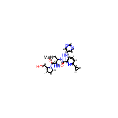 CNCC(NC(=O)c1nc(C2CC2)ccc1Nc1cncnc1)C(=N)C(=O)N1CCCC1CO